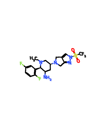 CN1C[C@H](N2Cc3cn(S(=O)(=O)C(F)(F)F)nc3C2)CC(N)[C@H]1c1cc(F)ccc1F